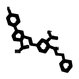 O=C(O)c1ccc(-c2ccc(F)cc2)cc1C=Cc1ccc(NCCc2ccccc2)c([N+](=O)[O-])c1